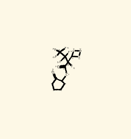 O=C1CCCCC1OC(=O)C(F)(C1OOO1)C(F)(F)C(F)(F)F